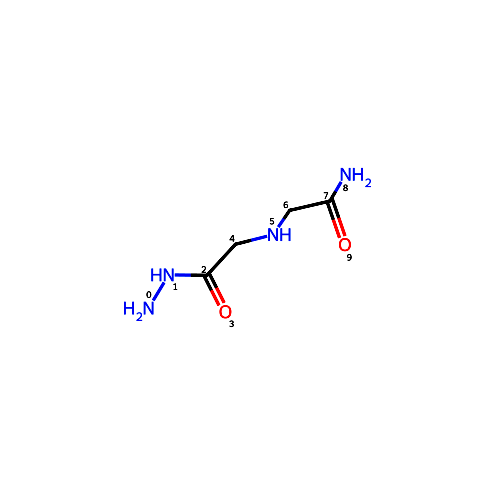 NNC(=O)CNCC(N)=O